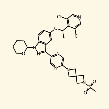 C[C@@H](Oc1ccc2c(c1)c(-c1cnc(N3CC4(C3)CN(S(C)(=O)=O)C4)cn1)nn2C1CCCCO1)c1c(Cl)cncc1Cl